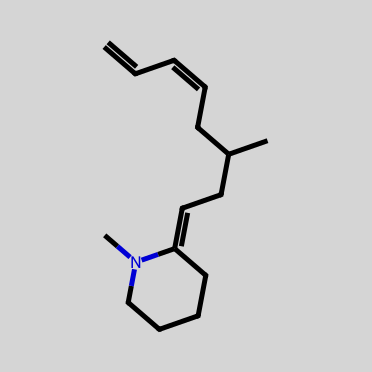 C=C/C=C\CC(C)C/C=C1\CCCCN1C